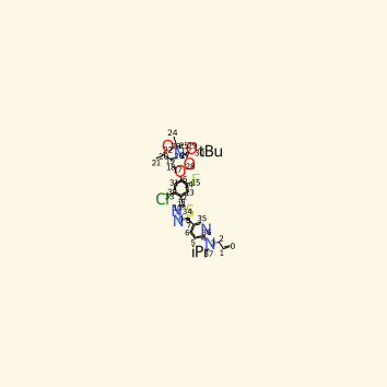 C=CCN(c1ccc(-c2nnc(-c3cc(F)c(OC[C@@H]4[C@@H](C)OC(C)(C)N4C(=O)OC(C)(C)C)cc3Cl)s2)cn1)C(C)C